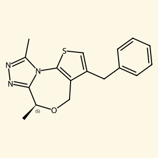 Cc1nnc2n1-c1scc(Cc3ccccc3)c1CO[C@H]2C